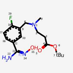 CN(CCC(=O)OC(C)(C)C)Cc1cc(/C(N)=N\O)ccc1F